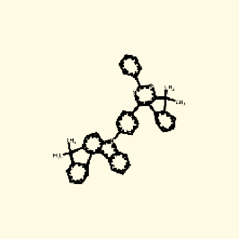 CC1(C)c2ccccc2-c2c1ccc1c2c2ccccc2n1-c1ccc(-c2nc(-c3ccccc3)nc3c2-c2ccccc2C3(C)C)cc1